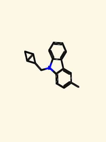 Cc1ccc2c(c1)c1ccccc1n2CC1C2CC21